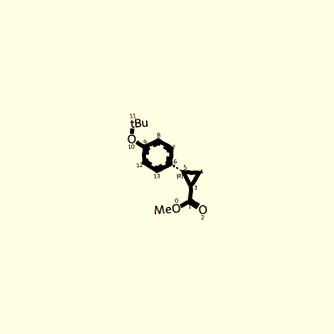 COC(=O)C1C[C@H]1c1ccc(OC(C)(C)C)cc1